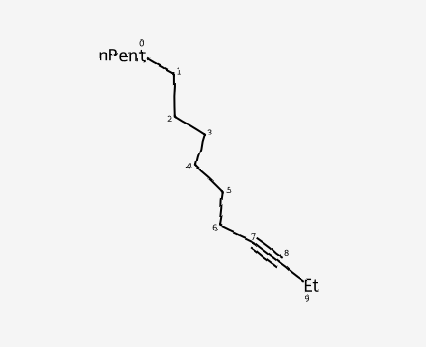 [CH2]CCCCCCCCCCC#CCC